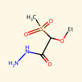 CCOC(C(=O)NN)S(C)(=O)=O